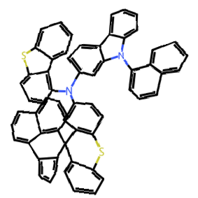 c1ccc2c(c1)Sc1ccc(N(c3ccc4c5ccccc5n(-c5cccc6ccccc56)c4c3)c3cccc4sc5ccccc5c34)cc1C21c2ccccc2-c2cccc3cccc1c23